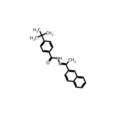 CC(=NNC(=O)c1ccc(C(C)(C)C)cc1)c1ccc2ccccc2c1